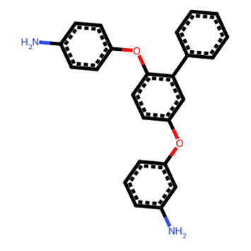 Nc1ccc(Oc2ccc(Oc3cccc(N)c3)cc2-c2ccccc2)cc1